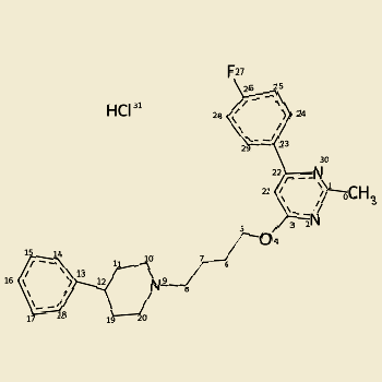 Cc1nc(OCCCCN2CCC(c3ccccc3)CC2)cc(-c2ccc(F)cc2)n1.Cl